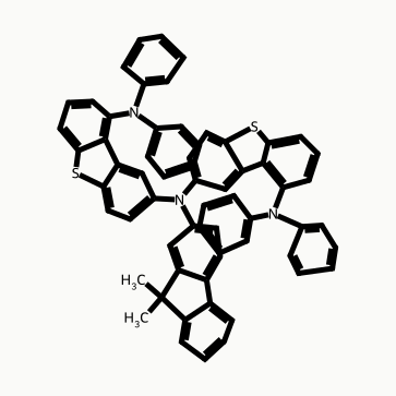 CC1(C)c2ccccc2-c2ccc(N(c3ccc4sc5cccc(N(c6ccccc6)c6ccccc6)c5c4c3)c3ccc4sc5cccc(N(c6ccccc6)c6ccccc6)c5c4c3)cc21